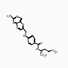 Nc1ncc2nc(CNc3ccc(C(=O)N[C@@H](CCC(=O)O)C(=O)O)cc3)cnc2n1